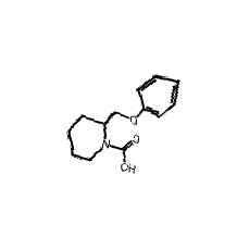 O=C(O)N1CCCCC1COc1ccccc1